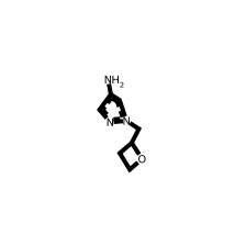 Nc1cnn(CC2CCO2)c1